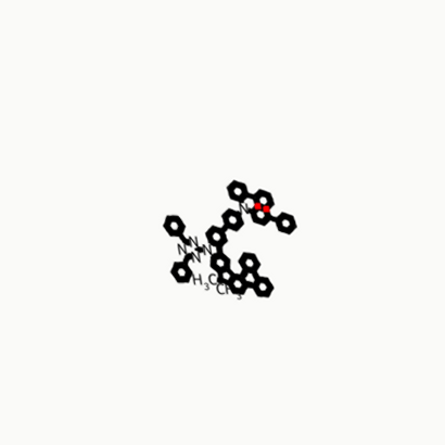 CC1(C)c2cc3c(cc2-c2c1ccc1c4ccccc4c4ccccc4c21)c1cc(-c2ccc(N(c4ccc(-c5ccccc5)cc4)c4ccccc4-c4ccccc4)cc2)ccc1n3-c1nc(-c2ccccc2)nc(-c2ccccc2)n1